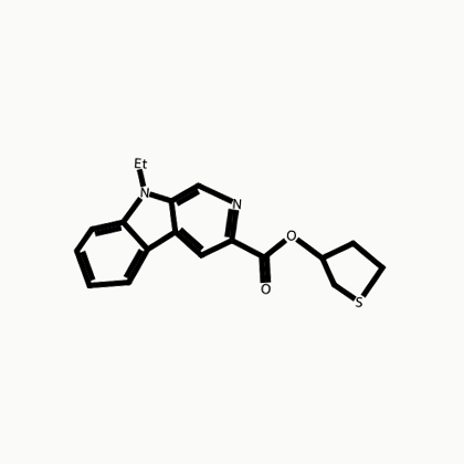 CCn1c2ccccc2c2cc(C(=O)OC3CCSC3)ncc21